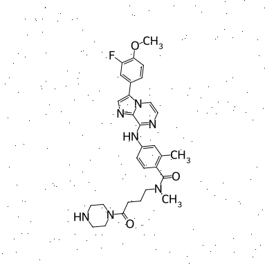 COc1ccc(-c2cnc3c(Nc4ccc(C(=O)N(C)CCCC(=O)N5CCNCC5)c(C)c4)nccn23)cc1F